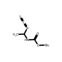 CC(N=C=S)NC(=O)OC(C)(C)C